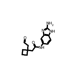 Nc1nc2cc(NC(=O)CC3(CC=O)CCC3)ccc2[nH]1